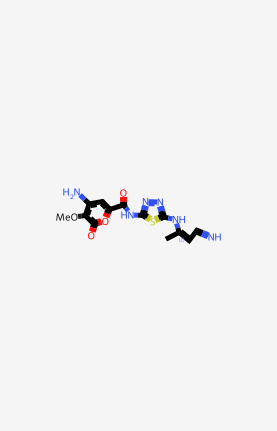 COc1c(N)cc(C(=O)Nc2nnc(N/C(C)=C\C=N)s2)oc1=O